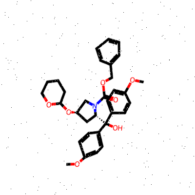 COc1ccc(C(O)(c2ccc(OC)cc2)[C@@H]2C[C@@H](OC3CCCCO3)CN2C(=O)OCc2ccccc2)cc1